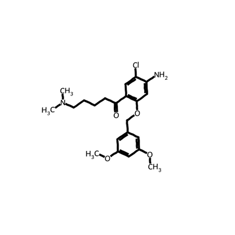 COc1cc(COc2cc(N)c(Cl)cc2C(=O)CCCCN(C)C)cc(OC)c1